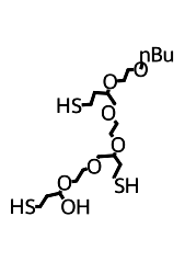 CCCCOCCOC(CCS)COCCOC(CCS)COCCOC(O)CCS